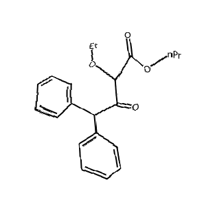 CCCOC(=O)C(OCC)C(=O)C(c1ccccc1)c1ccccc1